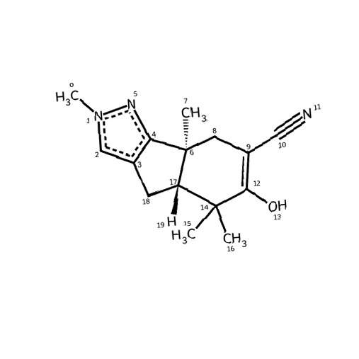 Cn1cc2c(n1)[C@@]1(C)CC(C#N)=C(O)C(C)(C)[C@@H]1C2